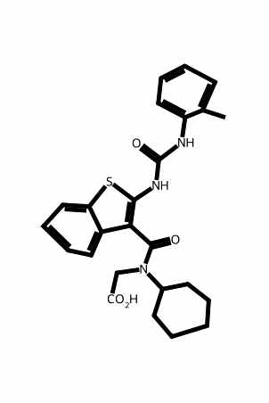 Cc1ccccc1NC(=O)Nc1sc2ccccc2c1C(=O)N(CC(=O)O)C1CCCCC1